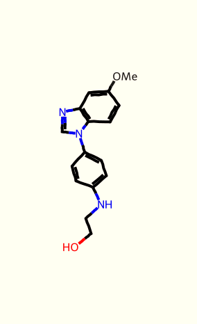 COc1ccc2c(c1)ncn2-c1ccc(NCCO)cc1